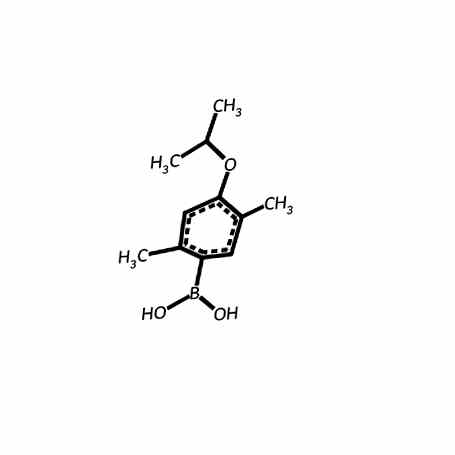 Cc1cc(B(O)O)c(C)cc1OC(C)C